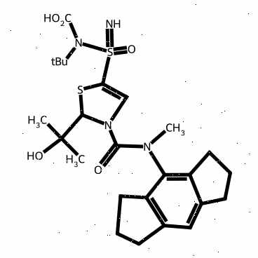 CN(C(=O)N1C=C(S(=N)(=O)N(C(=O)O)C(C)(C)C)SC1C(C)(C)O)c1c2c(cc3c1CCC3)CCC2